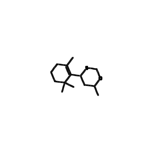 CC1=C(C2CC(C)OCS2)C(C)(C)CCC1